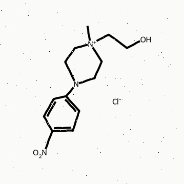 C[N+]1(CCO)CCN(c2ccc([N+](=O)[O-])cc2)CC1.[Cl-]